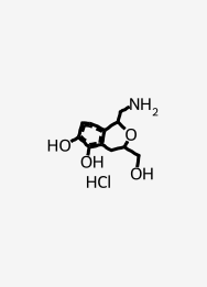 Cl.NCC1OC(CO)Cc2c1ccc(O)c2O